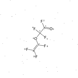 O=C(F)C(F)(F)OC(F)=C(F)F